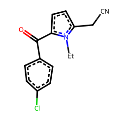 CCn1c(CC#N)ccc1C(=O)c1ccc(Cl)cc1